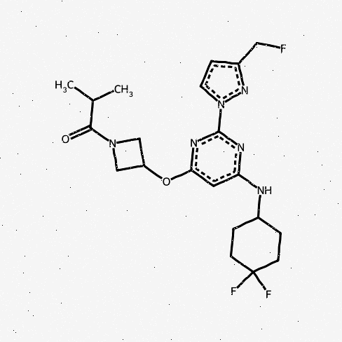 CC(C)C(=O)N1CC(Oc2cc(NC3CCC(F)(F)CC3)nc(-n3ccc(CF)n3)n2)C1